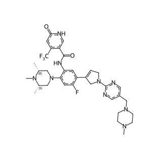 C[C@@H]1CN(c2cc(F)c(C3=CCN(c4ncc(CN5CCN(C)CC5)cn4)C3)cc2NC(=O)c2c[nH]c(=O)cc2C(F)(F)F)C[C@H](C)N1C